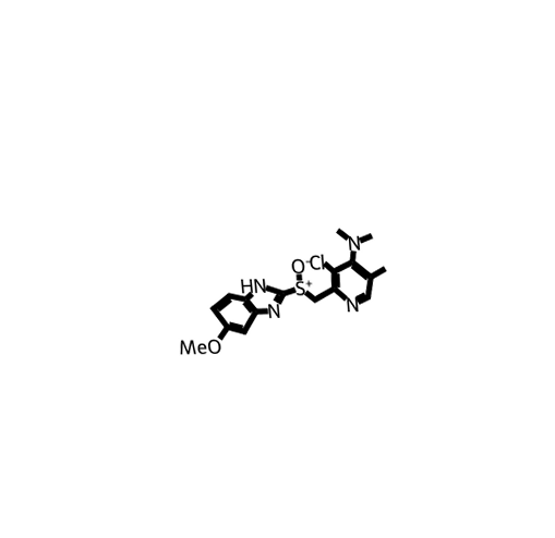 COc1ccc2[nH]c([S+]([O-])Cc3ncc(C)c(N(C)C)c3Cl)nc2c1